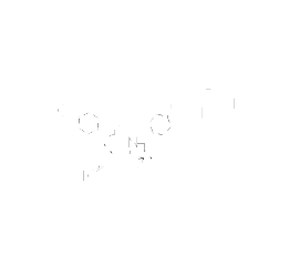 CC(F)(F)CCOc1ccc(-c2noc(C3C[C@@H](O)CN3C(=O)c3ccc(Cl)cc3)n2)cc1